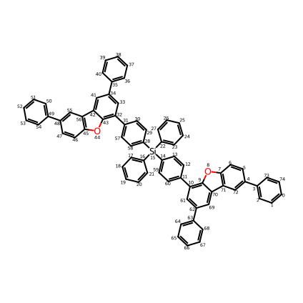 c1ccc(-c2ccc3oc4c(-c5ccc([Si](c6ccccc6)(c6ccccc6)c6ccc(-c7cc(-c8ccccc8)cc8c7oc7ccc(-c9ccccc9)cc78)cc6)cc5)cc(-c5ccccc5)cc4c3c2)cc1